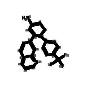 NC1=CCN(c2ccc(C(F)(F)F)cc2)C(c2ccc3cccnc3c2)=C1